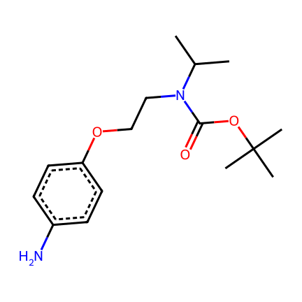 CC(C)N(CCOc1ccc(N)cc1)C(=O)OC(C)(C)C